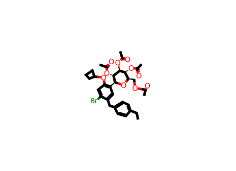 CCc1ccc(Cc2cc([C@@H]3O[C@H](COC(C)=O)[C@@H](OC(C)=O)[C@H](OC(C)=O)[C@H]3OC(C)=O)c(OC3CCC3)cc2Br)cc1